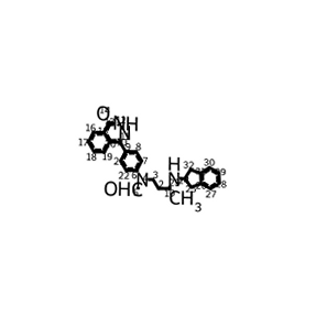 CC(CCN(C=O)c1ccc(-c2n[nH]c(=O)c3ccccc23)cc1)NC1Cc2ccccc2C1